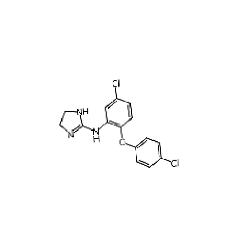 Clc1ccc(Oc2ccc(Cl)cc2NC2=NCCN2)cc1